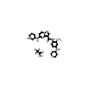 Cc1cc(NC2CCOCC2)ccc1NC(=O)c1cnn2ccc(N[C@@H]3CCCNC3)nc12.O=C(O)C(F)(F)F